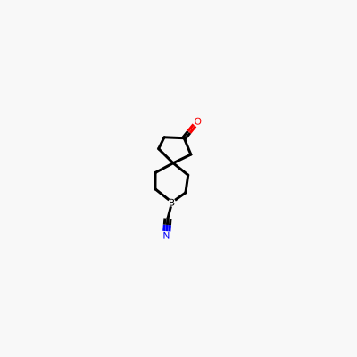 N#CB1CCC2(CC1)CCC(=O)C2